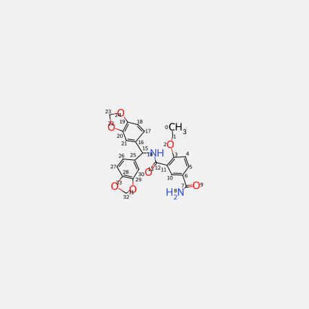 CCOc1ccc(C(N)=O)cc1C(=O)NC(c1ccc2c(c1)OCO2)c1ccc2c(c1)OCO2